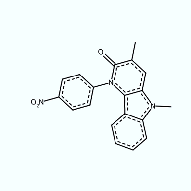 Cc1cc2c(c3ccccc3n2C)n(-c2ccc([N+](=O)[O-])cc2)c1=O